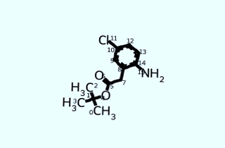 CC(C)(C)OC(=O)Cc1cc(Cl)ccc1N